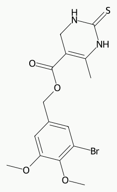 COc1cc(COC(=O)C2=C(C)NC(=S)NC2)cc(Br)c1OC